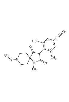 C#Cc1cc(C)c(C2C(=O)N(C)C3(CCN(OC)CC3)C2=O)c(C)c1